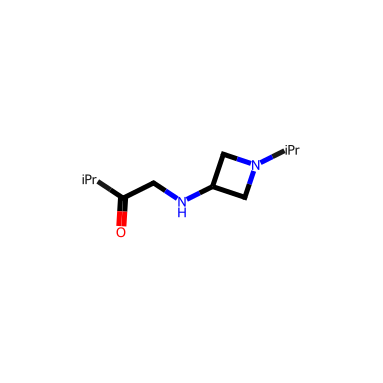 CC(C)C(=O)CNC1CN(C(C)C)C1